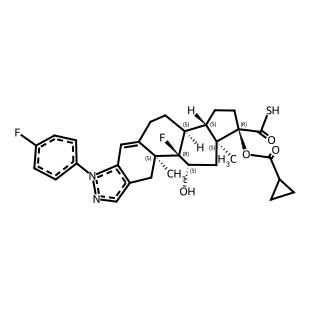 C[C@]12Cc3cnn(-c4ccc(F)cc4)c3C=C1CC[C@H]1[C@@H]3CC[C@](OC(=O)C4CC4)(C(=O)S)[C@@]3(C)C[C@H](O)[C@@]12F